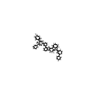 c1ccc(-c2cccc(-n3c4ccccc4c4c5sc6c(-c7cccc(-c8nc(-c9ccccc9)nc(-c9ccccc9)n8)c7)cccc6c5ccc43)c2)cc1